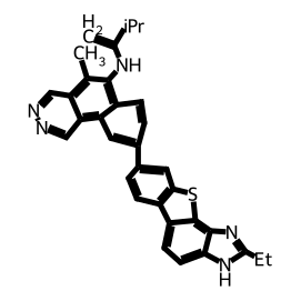 C=C(Nc1c(C)c2cnncc2c2cc(-c3ccc4c(c3)sc3c4ccc4[nH]c(CC)nc43)ccc12)C(C)C